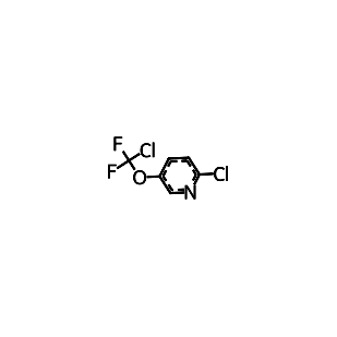 FC(F)(Cl)Oc1ccc(Cl)nc1